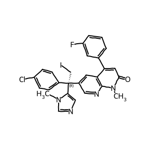 Cn1cncc1[C@@](CI)(c1ccc(Cl)cc1)c1cnc2c(c1)c(-c1cccc(F)c1)cc(=O)n2C